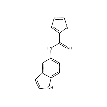 N=C(Nc1ccc2[nH]ccc2c1)c1cccs1